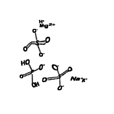 O=P([O-])(O)O.O=S(=O)([O-])[O-].O=S(=O)([O-])[O-].[H+].[K+].[Mg+2].[Na+]